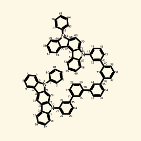 c1ccc(-n2c3ccccc3c3cc4c5ccccc5n(-c5cccc(-c6cccc(-c7cccc(-c8cccc(-c9cccc(-n%10c%11ccccc%11c%11c%12c%13ccccc%13n(-c%13ccccc%13)c%12ccc%11%10)c9)c8)c7)c6)c5)c4cc32)cc1